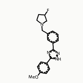 COc1ccc(-c2nc(-c3cccc(CN4CCC(F)C4)c3)n[nH]2)cc1